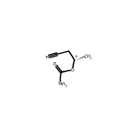 C[C@@H](CC#N)OC(N)=O